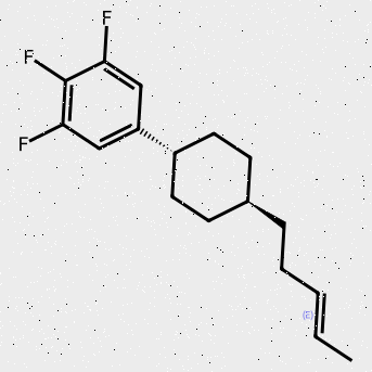 C/C=C/CC[C@H]1CC[C@H](c2cc(F)c(F)c(F)c2)CC1